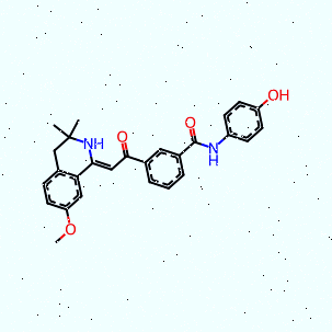 COc1ccc2c(c1)C(=CC(=O)c1cccc(C(=O)Nc3ccc(O)cc3)c1)NC(C)(C)C2